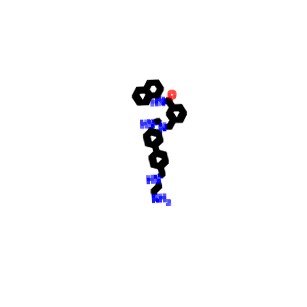 NCCNCc1ccc(-c2ccc3c(c2)N(Cc2cccc(C(=O)NC4CCCc5ccccc54)c2)CN3)cc1